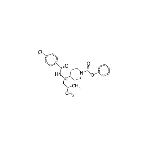 CC(C)C[C@@H](NC(=O)c1ccc(Cl)cc1)C1CCN(C(=O)Oc2ccccc2)CC1